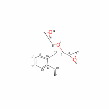 C(OCC1CO1)C1CO1.C=Cc1ccccc1C